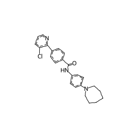 O=C(Nc1ccc(N2CCCCCC2)cc1)c1ccc(-c2ncccc2Cl)cc1